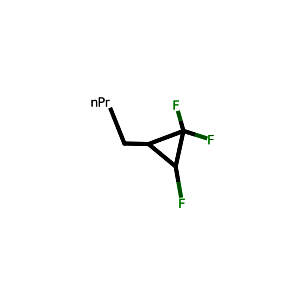 [CH2]CCCC1C(F)C1(F)F